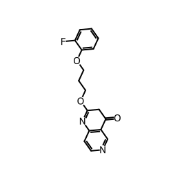 O=C1CC(OCCCOc2ccccc2F)=Nc2ccncc21